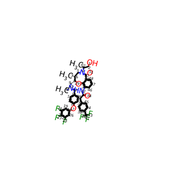 CC(CO)N1C[C@@H](C)[C@@H](CN(C)Cc2ccc(Oc3cc(F)c(F)c(F)c3)cc2)Oc2c(NC(=O)Cc3ccc(C(F)(F)F)cc3)cccc2C1=O